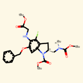 CC[C@@H](C)N(C[C@H]1Cc2c(cc(OCc3ccccc3)c(NCC(=O)OC(C)(C)C)c2F)N1C(=O)OC(C)(C)C)C(=O)OC(C)(C)C